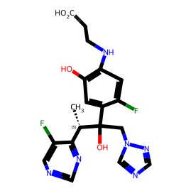 C[C@@H](c1ncncc1F)C(O)(Cn1cncn1)c1cc(O)c(NCCC(=O)O)cc1F